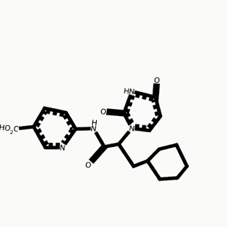 O=C(O)c1ccc(NC(=O)C(CC2CCCCC2)n2ccc(=O)[nH]c2=O)nc1